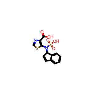 O=C(O)c1ncsc1N(C1C=Cc2ccccc21)S(=O)(=O)O